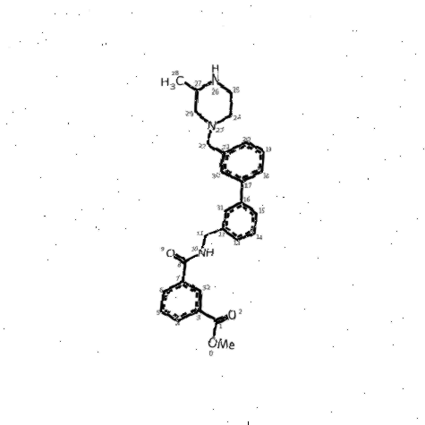 COC(=O)c1cccc(C(=O)NCc2cccc(-c3cccc(CN4CCNC(C)C4)c3)c2)c1